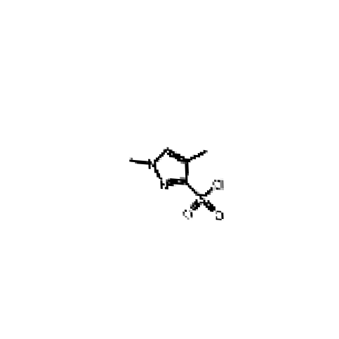 Cc1cn(C)nc1S(=O)(=O)Cl